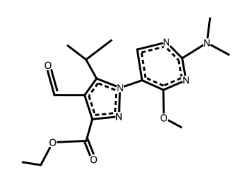 CCOC(=O)c1nn(-c2cnc(N(C)C)nc2OC)c(C(C)C)c1C=O